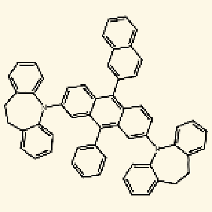 c1ccc(-c2c3cc(N4c5ccccc5CCc5ccccc54)ccc3c(-c3ccc4ccccc4c3)c3ccc(N4c5ccccc5CCc5ccccc54)cc23)cc1